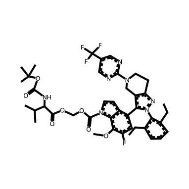 CCc1cccc(CC)c1-n1nc2c(c1-c1cc(F)c(OC)c3c1ccn3C(=O)OCOC(=O)C(NC(=O)OC(C)(C)C)C(C)C)CN(c1ncc(C(F)(F)F)cn1)CC2